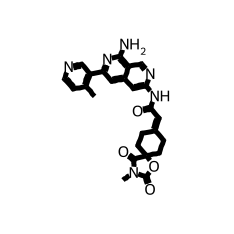 Cc1ccncc1-c1cc2cc(NC(=O)C=C3CCC4(CC3)OC(=O)N(C)C4=O)ncc2c(N)n1